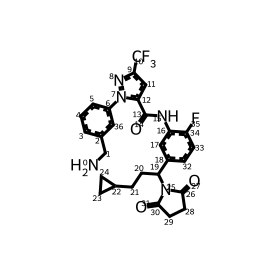 NCc1cccc(-n2nc(C(F)(F)F)cc2C(=O)Nc2cc(C(CCC3CC3)N3C(=O)CCC3=O)ccc2F)c1